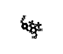 C[Si](C)(C)OC1C(O[Si](C)(C)C)[C@H](O)[C@@H](CO)O[C@@H]1Cc1ccc(N=[N+]=[N-])cc1